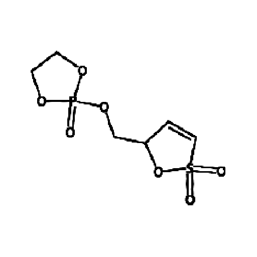 O=P1(OCC2C=CS(=O)(=O)O2)OCCO1